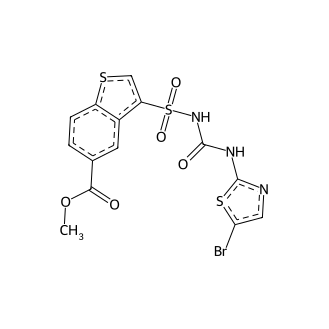 COC(=O)c1ccc2scc(S(=O)(=O)NC(=O)Nc3ncc(Br)s3)c2c1